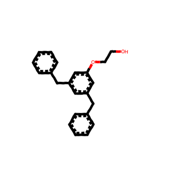 OCCOc1cc(Cc2ccccc2)cc(Cc2ccccc2)c1